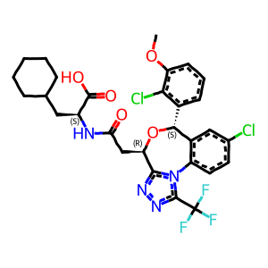 COc1cccc([C@H]2O[C@H](CC(=O)N[C@@H](CC3CCCCC3)C(=O)O)c3nnc(C(F)(F)F)n3-c3ccc(Cl)cc32)c1Cl